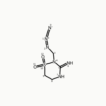 [N-]=[N+]=NCN1C(=N)NCCS1(=O)=O